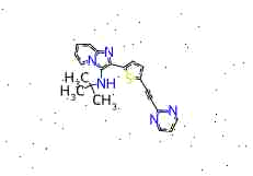 CC(C)(C)Nc1c(-c2ccc(C#Cc3ncccn3)s2)nc2ccccn12